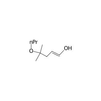 CCCOC(C)(C)C/C=[C]/O